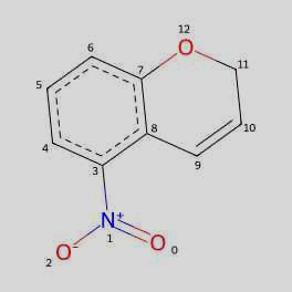 O=[N+]([O-])c1cccc2c1C=CCO2